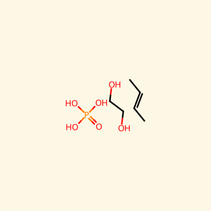 CC=CC.O=P(O)(O)O.OCCO